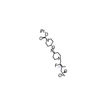 C/C(CS(C)(=O)=O)=C(/F)CN1CCC(=NOC2CCN(C(=O)OC(C)C)CC2)CC1